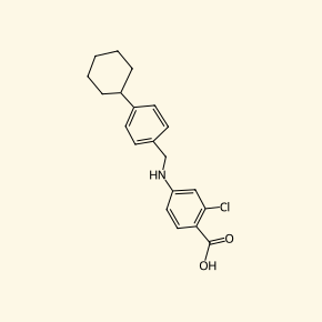 O=C(O)c1ccc(NCc2ccc(C3CCCCC3)cc2)cc1Cl